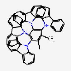 Cc1c(-n2c3ccccc3c3ccccc32)c(-n2c3ccccc3c3ccccc32)c(-n2c3ccccc3c3ccccc32)c(-n2c3ccccc3c3ccccc32)c1C(F)(F)F